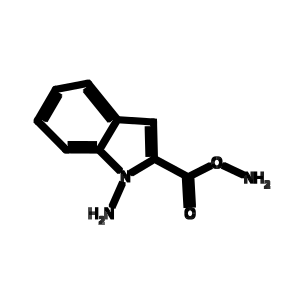 NOC(=O)c1cc2ccccc2n1N